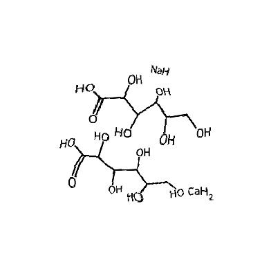 O=C(O)C(O)C(O)C(O)C(O)CO.O=C(O)C(O)C(O)C(O)C(O)CO.[CaH2].[NaH]